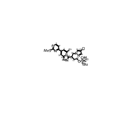 CSc1nccc(-c2cc(F)n3c(C(CCO[Si](C)(C)C(C)(C)C)Cn4cc(Cl)cn4)nnc3c2)n1